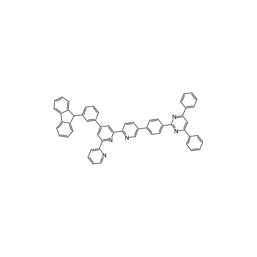 c1ccc(-c2cc(-c3ccccc3)nc(-c3ccc(-c4ccc(-c5cc(-c6cccc(C7c8ccccc8-c8ccccc87)c6)cc(-c6ccccn6)n5)nc4)cc3)n2)cc1